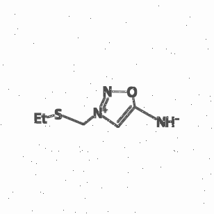 CCSC[n+]1cc([NH-])on1